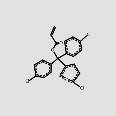 C=CC(=O)OC(c1ccc(Cl)cc1)(c1ccc(Cl)cc1)c1ccc(Cl)cc1